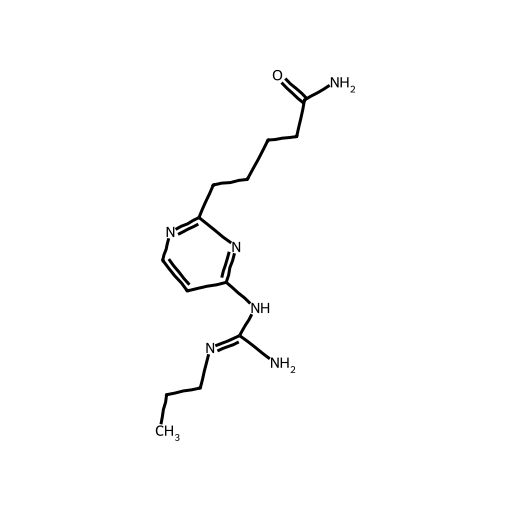 CCCN=C(N)Nc1ccnc(CCCCC(N)=O)n1